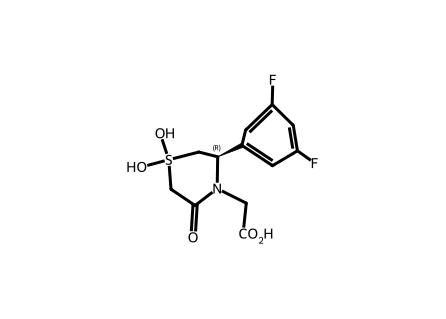 O=C(O)CN1C(=O)CS(O)(O)C[C@H]1c1cc(F)cc(F)c1